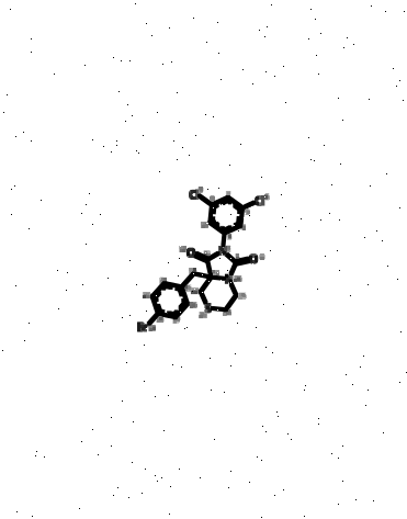 O=C1N(c2cc(Cl)cc(Cl)c2)C(=O)C2(Cc3ccc(Br)cc3)CSCCN12